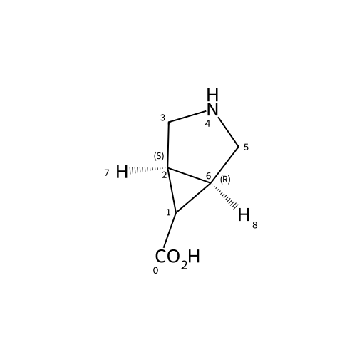 O=C(O)C1[C@H]2CNC[C@@H]12